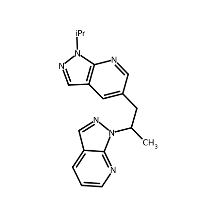 CC(C)n1ncc2cc(CC(C)n3ncc4cccnc43)cnc21